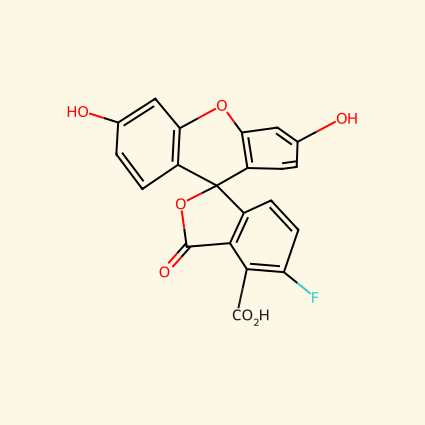 O=C(O)c1c(F)ccc2c1C(=O)OC21c2ccc(O)cc2Oc2cc(O)ccc21